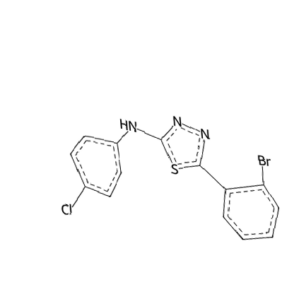 Clc1ccc(Nc2nnc(-c3ccccc3Br)s2)cc1